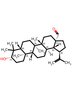 C=C(C)[C@@H]1CC[C@]2(C=O)CC[C@]3(C)[C@H](CC[C@@H]4[C@@]5(C)CC[C@H](O)C(C)(C)[C@@H]5CC[C@]43C)[C@@H]12